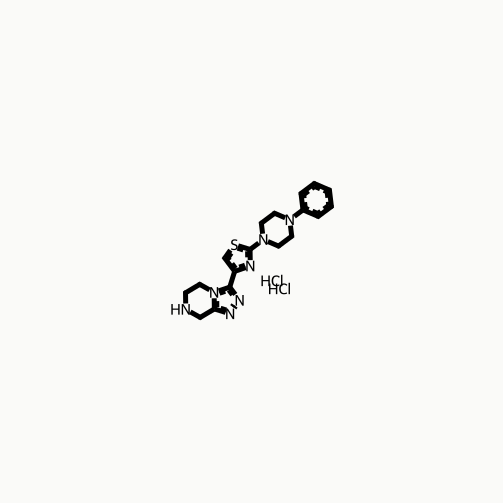 Cl.Cl.c1ccc(N2CCN(c3nc(-c4nnc5n4CCNC5)cs3)CC2)cc1